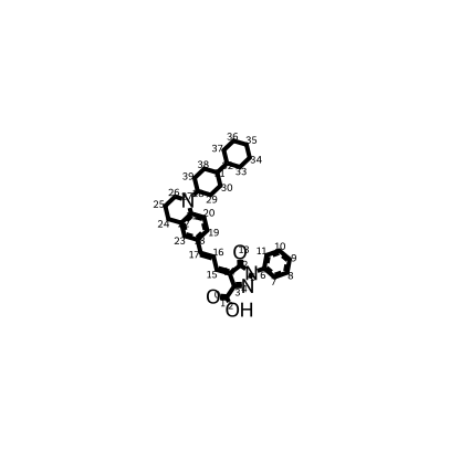 O=C(O)C1=NN(c2ccccc2)C(=O)/C1=C\C=C\c1ccc2c(c1)CCCN2C1CCC(C2CCCCC2)CC1